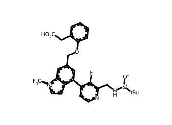 CC(C)(C)[S+]([O-])NCc1nccc(-c2cc(COc3ccccc3CC(=O)O)cc3c2ccn3C(F)(F)F)c1F